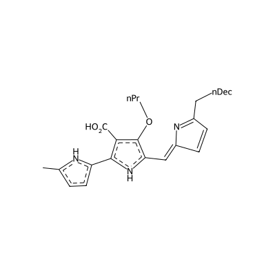 CCCCCCCCCCCC1=NC(=Cc2[nH]c(-c3ccc(C)[nH]3)c(C(=O)O)c2OCCC)C=C1